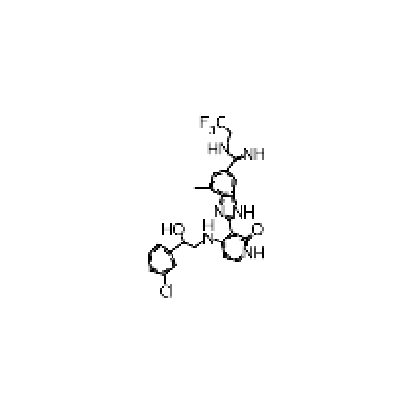 Cc1cc(C(=N)NCC(F)(F)F)cc2[nH]c(-c3c(NCC(O)c4cccc(Cl)c4)cc[nH]c3=O)nc12